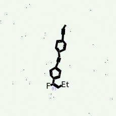 CC#Cc1ccc(C#Cc2ccc(/C(F)=C\CC)cc2)cc1